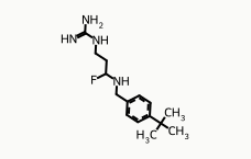 CC(C)(C)c1ccc(CNC(F)CCNC(=N)N)cc1